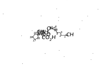 C#CCCC[C@@H]1C[C@H]1OC(=O)N[C@H](C(=O)O)C1(C)CCCC1